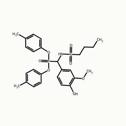 CCCCS(=O)(=O)NC(c1ccc(O)c(OC)c1)P(=O)(Oc1ccc(C)cc1)Oc1ccc(C)cc1